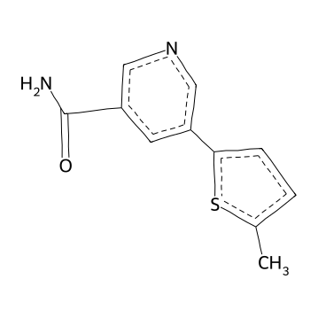 Cc1ccc(-c2cncc(C(N)=O)c2)s1